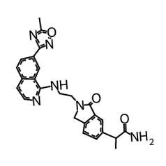 Cc1nc(-c2ccc3ccnc(NCCN4Cc5ccc(C(C)C(N)=O)cc5C4=O)c3c2)no1